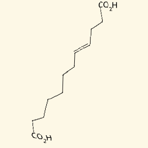 O=C(O)CCC=CCCCCCCC(=O)O